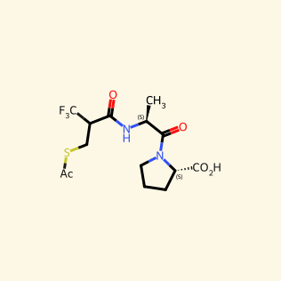 CC(=O)SCC(C(=O)N[C@@H](C)C(=O)N1CCC[C@H]1C(=O)O)C(F)(F)F